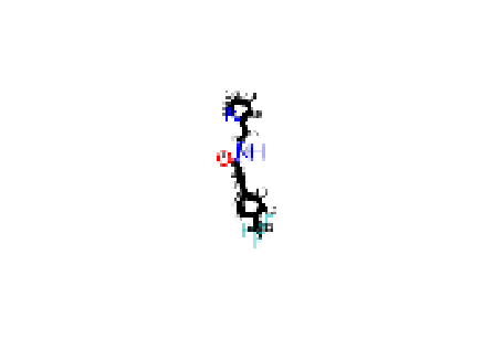 O=C(C#Cc1ccc(C(F)(F)F)cc1)NCCc1ccccn1